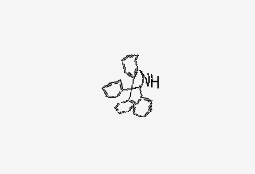 N=C(c1ccccc1)C(c1ccccc1)(c1ccccc1)c1ccccc1